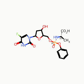 C[C@H](N[P@](=O)(OCC1OC(n2cc(F)c(=O)[nH]c2=O)CC1O)Oc1ccccc1)C(=O)O